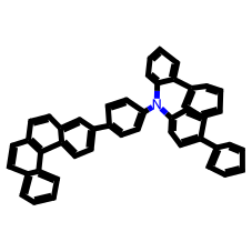 c1ccc(-c2ccc(N(c3ccc(-c4ccc5c(ccc6ccc7ccccc7c65)c4)cc3)c3ccccc3-c3ccccc3)cc2)cc1